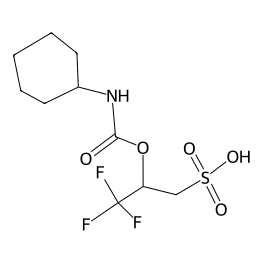 O=C(NC1CCCCC1)OC(CS(=O)(=O)O)C(F)(F)F